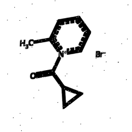 Cc1cccc[n+]1C(=O)C1CC1.[Br-]